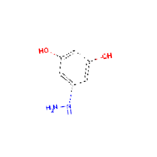 NNc1cc(O)cc(O)c1